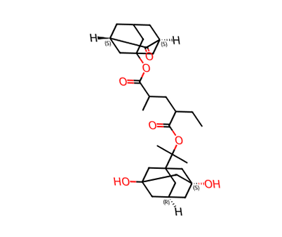 CCC(CC(C)C(=O)OC12CC3C[C@@H](C1)C(=O)[C@@H](C3)C2)C(=O)OC(C)(C)C12C[C@@H]3CC(O)(C1)C[C@](O)(C3)C2